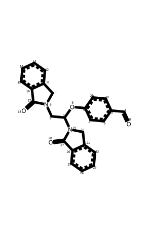 O=Cc1ccc(OC(CN2Cc3ccccc3C2=O)N2Cc3ccccc3C2=O)cc1